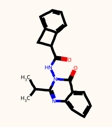 CC(C)c1nc2ccccc2c(=O)n1NC(=O)C1Cc2ccccc21